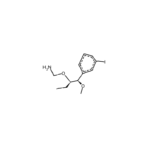 CC[C@@H](OCN)[C@H](OC)c1cccc(I)c1